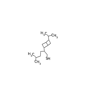 CC(C)CCC(CS)C1CC2C(C(C)C)CC12